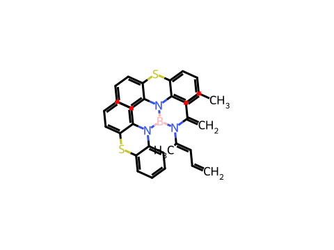 C=C/C=C(\C)N(B(N1c2ccccc2Sc2ccccc21)N1c2ccccc2Sc2ccccc21)C(=C)/C=C\C